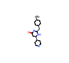 CCCCc1ccc(Cc2nc(=O)cc(-c3ccncc3)[nH]2)cc1